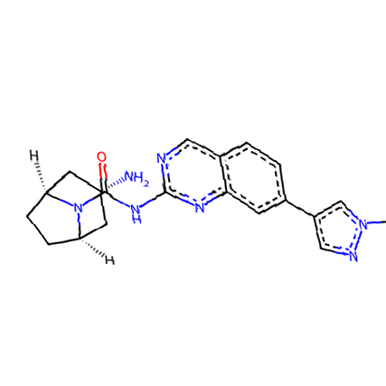 Cn1cc(-c2ccc3cnc(NC(=O)N4[C@@H]5CC[C@H]4C[C@H](N)C5)nc3c2)cn1